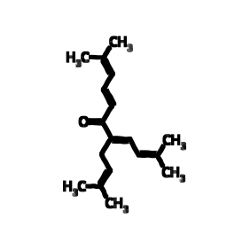 CC(C)=CC=CC(=O)C(=CC=C(C)C)CC=C(C)C